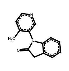 Cc1ccncc1N1C(=O)Cc2ccccc21